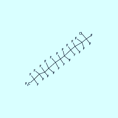 FC(F)(F)C(F)(F)C(F)(F)C(F)(F)C(F)(F)C(F)(F)C(F)(F)C(F)(F)C(F)(F)C(F)(F)C(F)(F)C(F)(F)Cl